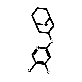 Clc1cnc(OC2CC3CCCC(C2)N3)cc1Cl